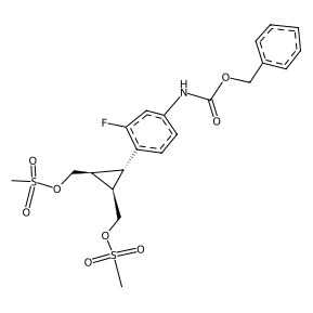 CS(=O)(=O)OC[C@@H]1[C@H](COS(C)(=O)=O)[C@H]1c1ccc(NC(=O)OCc2ccccc2)cc1F